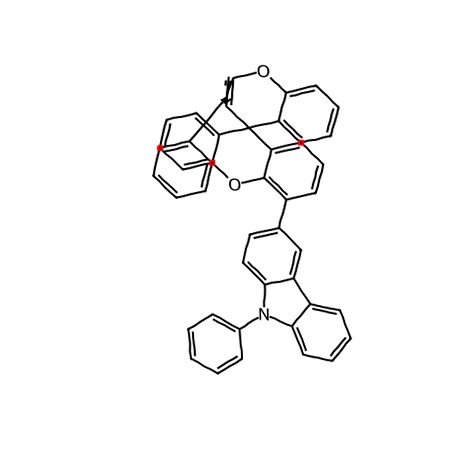 c1ccc(-c2cccc3c2C2(c4ccccc4O3)c3ccccc3Oc3c(-c4ccc5c(c4)c4ccccc4n5-c4ccccc4)cccc32)cc1